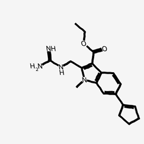 CCOC(=O)c1c(CNC(=N)N)n(C)c2cc(C3=CCCC3)ccc12